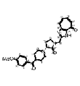 COc1ccc(C(=O)C2CCN([C@@H]3CCN(Cc4nc5ccccc(=O)c5[nH]4)C3=O)CC2)cc1